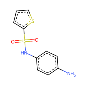 Nc1ccc(NS(=O)(=O)c2cccs2)cc1